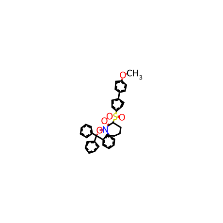 COc1ccc(-c2ccc(S(=O)(=O)C3CCCCN(OC(c4ccccc4)(c4ccccc4)c4ccccc4)C3=O)cc2)cc1